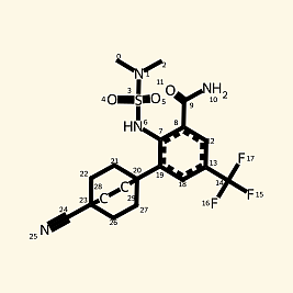 CN(C)S(=O)(=O)Nc1c(C(N)=O)cc(C(F)(F)F)cc1C12CCC(C#N)(CC1)CC2